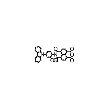 O=C1OC(=O)c2ccc3c4c(ccc1c24)C(=O)N(c1ccc(-n2c4ccccc4c4ccccc42)cc1O)C3=O